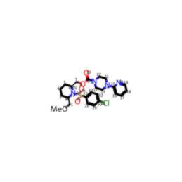 COC[C@H]1CCC[C@@H](COC(=O)N2CCN(c3ccccn3)CC2)N1S(=O)(=O)c1ccc(Cl)cc1